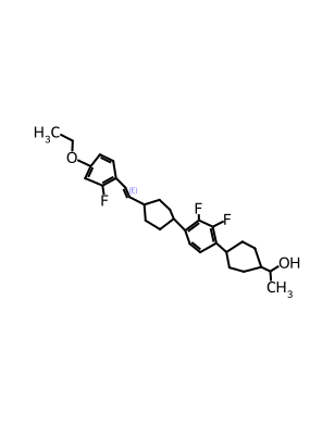 CCOc1ccc(/C=C/C2CCC(c3ccc(C4CCC(C(C)O)CC4)c(F)c3F)CC2)c(F)c1